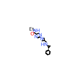 CCNC(=O)c1cnc(N2CC(CN[C@@H]3C[C@H]3c3ccccc3)C2)cn1